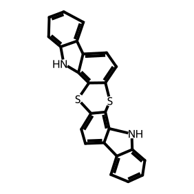 c1ccc2c(c1)[nH]c1c3c(ccc12)Sc1c(ccc2c1[nH]c1ccccc12)S3